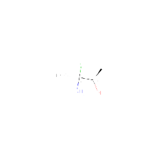 C[C@@H](O)[C@@](N)(Cl)C(=O)O